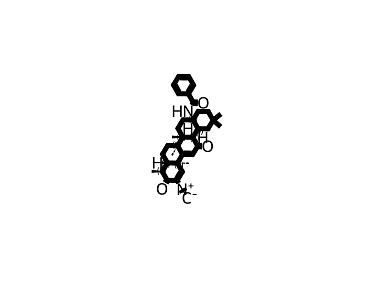 [C-]#[N+]C1=C[C@]2(C)C3=CC(=O)[C@@H]4[C@@H]5CC(C)(C)CC[C@]5(NC(=O)c5ccccc5)CC[C@@]4(C)[C@]3(C)CC[C@H]2[C@H](C)C1=O